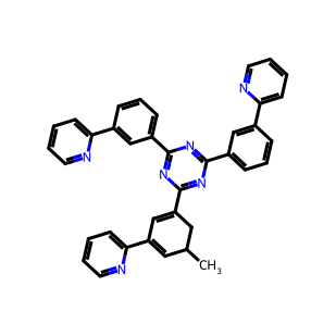 CC1C=C(c2ccccn2)C=C(c2nc(-c3cccc(-c4ccccn4)c3)nc(-c3cccc(-c4ccccn4)c3)n2)C1